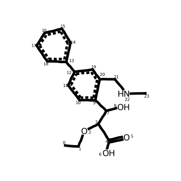 CCOC(C(=O)O)C(O)c1ccc(-c2ccccc2)cc1CNC